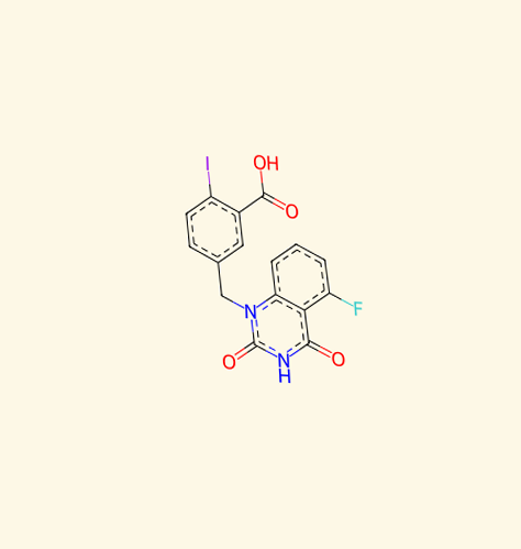 O=C(O)c1cc(Cn2c(=O)[nH]c(=O)c3c(F)cccc32)ccc1I